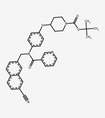 CC(C)(C)OC(=O)N1CCC(Oc2ccc(N(Cc3ccc4ccc(C#N)cc4c3)C(=O)c3cccnc3)cc2)CC1